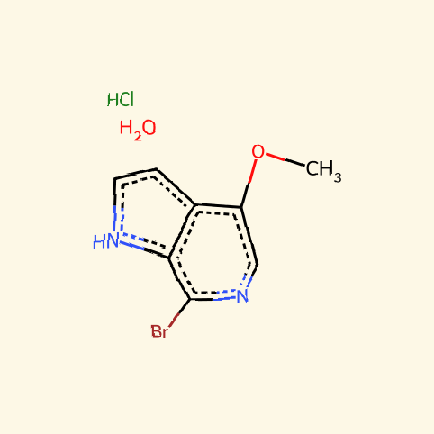 COc1cnc(Br)c2[nH]ccc12.Cl.O